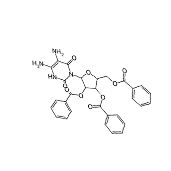 Nc1[nH]c(=O)n(C2OC(COC(=O)c3ccccc3)C(OC(=O)c3ccccc3)C2OC(=O)c2ccccc2)c(=O)c1N